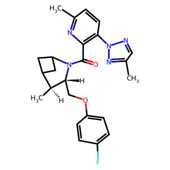 Cc1ccc(-n2ncc(C)n2)c(C(=O)N2C3CC(C3)[C@H](C)[C@H]2COc2ccc(F)cc2)n1